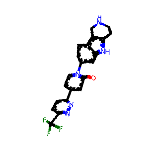 O=c1cc(-c2ccc(C(F)(F)F)nn2)ccn1-c1ccc2c3c([nH]c2c1)CCNC3